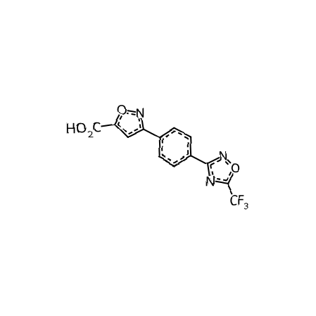 O=C(O)c1cc(-c2ccc(-c3noc(C(F)(F)F)n3)cc2)no1